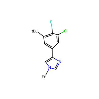 CCn1cnc(-c2cc(Cl)c(F)c(C(C)(C)C)c2)c1